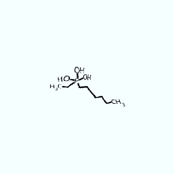 CCCCCCP(O)(O)(O)CC